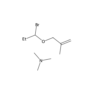 C=C(C)COC(Br)CC.CN(C)C